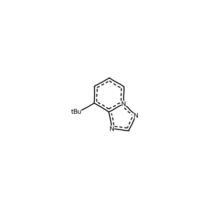 CC(C)(C)c1cccn2ncnc12